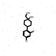 OCC1(O)CCC(c2ccc(Cl)cc2F)CC1